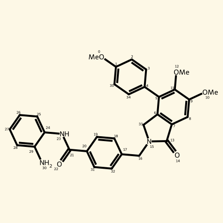 COc1ccc(-c2c3c(cc(OC)c2OC)C(=O)N(Cc2ccc(C(=O)Nc4ccccc4N)cc2)C3)cc1